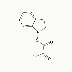 O=C(Cl)C(=O)ON1CCc2ccccc21